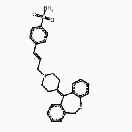 NS(=O)(=O)c1ccc(/C=C/CN2CCC(=C3c4ccccc4CSc4ccccc43)CC2)cc1